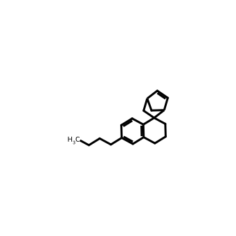 CCCCc1ccc2c(c1)CCCC21CC2C=CC1C2